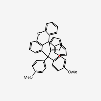 COc1ccc(C(c2ccccc2)(c2ccc(OC)cc2)c2cccc3c2[C](c2ccccc2)c2ccccc2O3)cc1